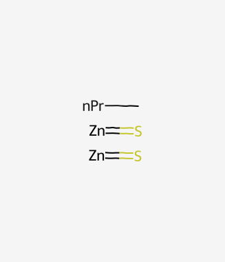 CCCC.[S]=[Zn].[S]=[Zn]